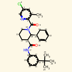 Cc1cc(Cl)cnc1C(=O)N1CCC[C@H](C(=O)Nc2cccc(C(C)(C)C)c2)C1[C@@H]1C=CC=CC1